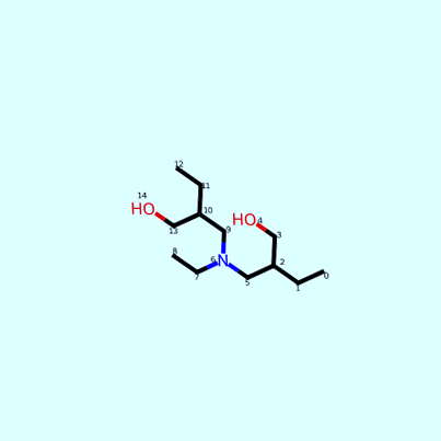 CCC(CO)CN(CC)CC(CC)CO